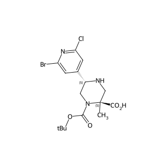 CC(C)(C)OC(=O)N1C[C@H](c2cc(Cl)nc(Br)c2)NC[C@@]1(C)C(=O)O